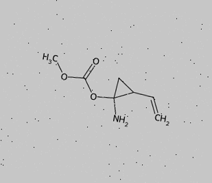 C=CC1CC1(N)OC(=O)OC